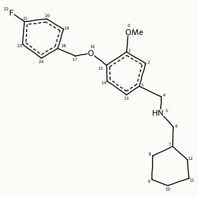 COc1cc(CNCC2CCCCC2)ccc1OCc1ccc(F)cc1